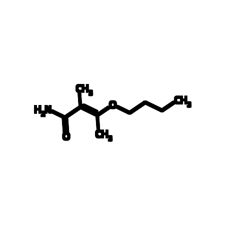 CCCCO/C(C)=C(\C)C(N)=O